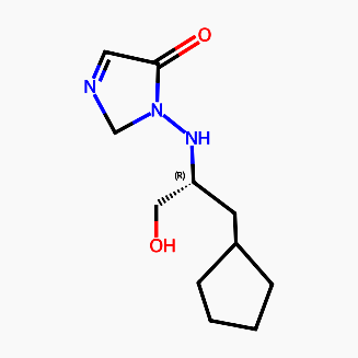 O=C1C=NCN1N[C@@H](CO)CC1CCCC1